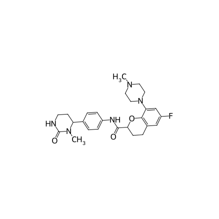 CN1CCN(c2cc(F)cc3c2OC(C(=O)Nc2ccc(C4CCNC(=O)N4C)cc2)CC3)CC1